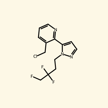 FCC(F)(F)CCn1nccc1-c1ncccc1CCl